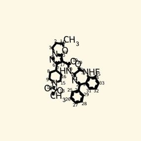 C[C@@H]1CCn2nc(C3CCN(S(C)(=O)=O)CC3)c(C(=O)N[C@H]3N=C(c4ccccc4)c4cccc(F)c4NC3=O)c2O1